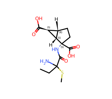 CCC(N)(SC)C(=O)N[C@@]1(C(=O)O)CC[C@H]2[C@H](C(=O)O)[C@H]21